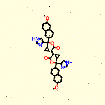 COc1ccc2cc(C(OC(=O)/C=C/C(=O)OC(c3ccc4cc(OC)ccc4c3)(c3c[nH]cn3)C3CC3)(c3c[nH]cn3)C3CC3)ccc2c1